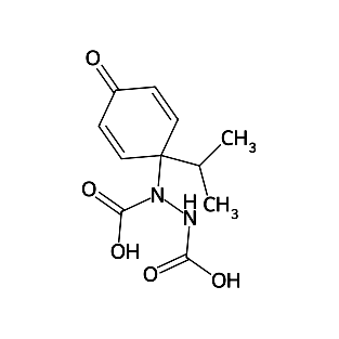 CC(C)C1(N(NC(=O)O)C(=O)O)C=CC(=O)C=C1